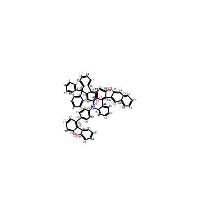 c1ccc(C2(c3ccccc3)c3ccccc3-c3ccc(N(c4ccc(-c5cccc6oc7ccccc7c56)cc4)c4ccccc4-c4cccc5oc6cc7ccccc7cc6c45)cc32)cc1